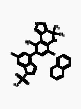 Cc1c(-c2cc(F)cc3c2ccn3S(C)(=O)=O)cc(F)c2c1-c1n[nH]cc1C(C)(C)N2.c1ccc2ncccc2c1